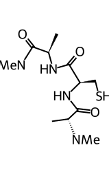 CNC(=O)[C@@H](C)NC(=O)[C@@H](CS)NC(=O)[C@@H](C)NC